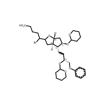 O=C(O)CCCC(Br)C1C[C@@H]2[C@@H](/C=C/[C@H](COc3ccccc3)OC3CCCCO3)[C@H](OC3CCCCO3)C[C@H]2O1